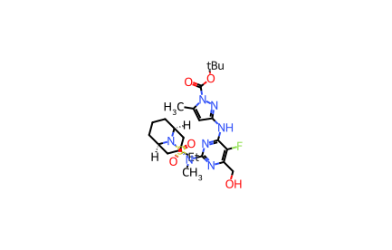 CCS(=O)(=O)N1[C@@H]2CCC[C@H]1C[C@H](N(C)c1nc(CO)c(F)c(Nc3cc(C)n(C(=O)OC(C)(C)C)n3)n1)C2